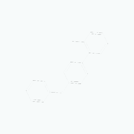 Cc1[c]cccc1-c1ccc(Oc2ccccc2)cc1